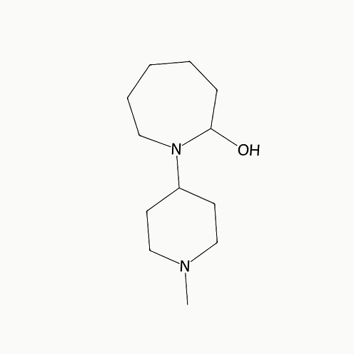 CN1CCC(N2CCCCCC2O)CC1